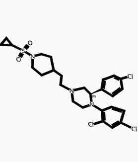 O=S(=O)(C1CC1)N1CCC(CCN2CCN(c3ccc(Cl)cc3Cl)[C@H](c3ccc(Cl)cc3)C2)CC1